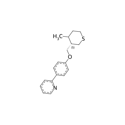 CC1CCSC[C@@H]1COc1ccc(-c2ccccn2)cc1